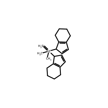 [CH3][Hf]([CH3])(=[SiH2])([CH]1C=CC2=C1CCCC2)[CH]1C=CC2=C1CCCC2